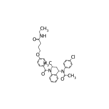 CCNC(=O)CCCOc1ccc(C(=O)N2c3ccccc3C(N(C(C)=O)c3ccc(Cl)cc3)CC2C)cc1